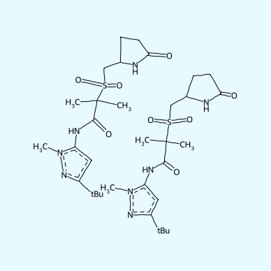 Cn1nc(C(C)(C)C)cc1NC(=O)C(C)(C)S(=O)(=O)CC1CCC(=O)N1.Cn1nc(C(C)(C)C)cc1NC(=O)C(C)(C)S(=O)(=O)CC1CCC(=O)N1